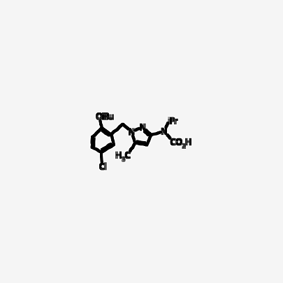 Cc1cc(N(C(=O)O)C(C)C)nn1Cc1cc(Cl)ccc1OCC(C)C